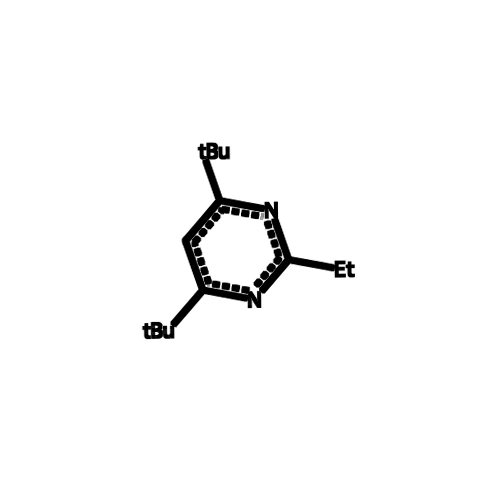 CCc1nc(C(C)(C)C)cc(C(C)(C)C)n1